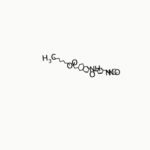 CCCCCCCOC(=O)CC1CCc2cc(NC(=O)c3ccc(C=NN4CCOCC4)cc3)ccc2C1